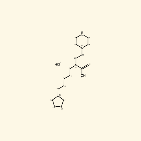 Cl.OC(=S)N(CCCCCC1CSSC1)CCN1CCOCC1